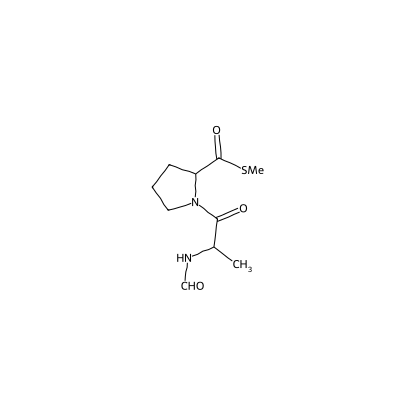 CSC(=O)C1CCCN1C(=O)C(C)NC=O